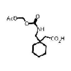 CC(=O)OCOC(=O)NCC1(CC(=O)O)CCCCC1